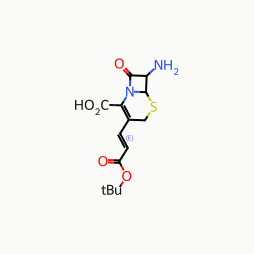 CC(C)(C)OC(=O)/C=C/C1=C(C(=O)O)N2C(=O)C(N)C2SC1